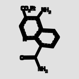 CCOC(=O)c1cnc2c(C(N)=O)cccc2c1N